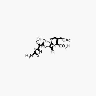 CC(=O)OCC1=C(C(=O)O)N2C(=O)[C@@H](NC(=O)/C(=N\O)c3nsc(N)n3)[C@H]2SC1